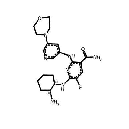 NC(=O)c1cc(F)c(N[C@@H]2CCCC[C@@H]2N)nc1Nc1cncc(N2CCOCC2)c1